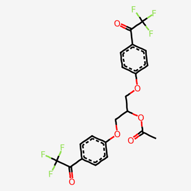 CC(=O)OC(COc1ccc(C(=O)C(F)(F)F)cc1)COc1ccc(C(=O)C(F)(F)F)cc1